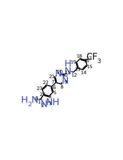 Nc1n[nH]c2cc(-c3cnc(NCc4ccc(C(F)(F)F)cc4)nc3)ccc12